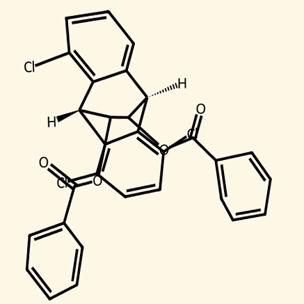 O=C(OC1C(OC(=O)c2ccccc2)[C@H]2c3cccc(Cl)c3[C@H]1c1c(Cl)ccc(Cl)c12)c1ccccc1